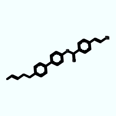 C/C=C/CCc1ccc(-c2ccc(OC(=O)c3ccc(/C=C/CC)cc3)cc2)cc1